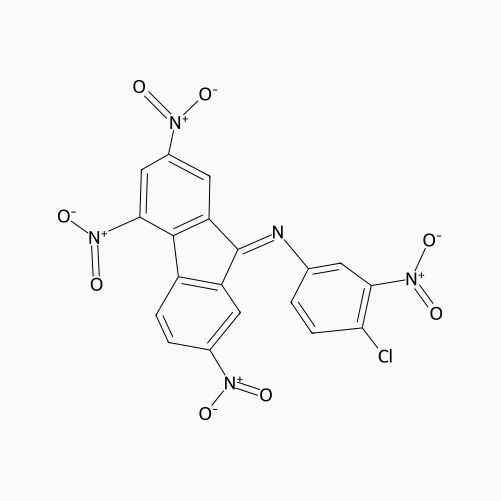 O=[N+]([O-])c1ccc2c(c1)/C(=N\c1ccc(Cl)c([N+](=O)[O-])c1)c1cc([N+](=O)[O-])cc([N+](=O)[O-])c1-2